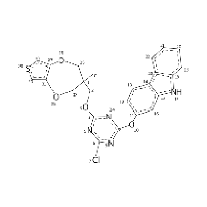 CC1(COc2nc(Cl)nc(Oc3ccc4c(c3)[nH]c3ccccc34)n2)COc2cscc2OC1